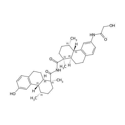 C[C@H]1CC[C@](C)(C(=O)NC(=O)[C@@]2(C)CC[C@H](C)[C@@H]3c4cc(NC(=O)CO)ccc4CC[C@H]32)[C@@H]2CCc3ccc(O)cc3[C@H]21